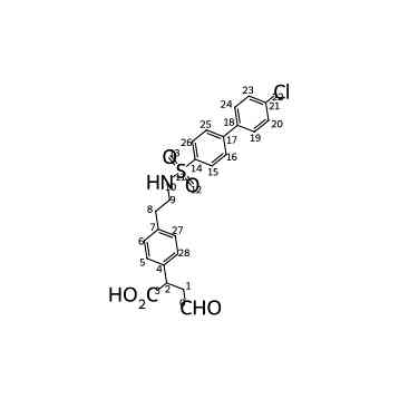 O=CCC(C(=O)O)c1ccc(CCNS(=O)(=O)c2ccc(-c3ccc(Cl)cc3)cc2)cc1